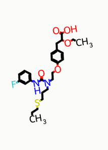 CCCSCCCN(CCOc1ccc(CC(OCC)C(=O)O)cc1)C(=O)Nc1cccc(F)c1